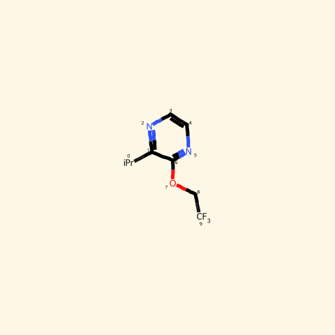 CC(C)c1nccnc1OCC(F)(F)F